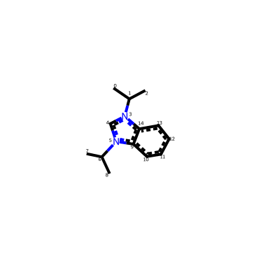 CC(C)n1c[n+](C(C)C)c2ccccc21